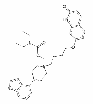 CCN(CC)C(=O)OC[N+]1(CCCCOc2ccc3ccc(=O)[nH]c3c2)CCN(c2cccc3sccc23)CC1